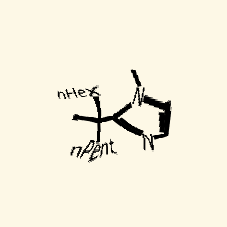 CCCCCCC(C)(CCCCC)c1nccn1C